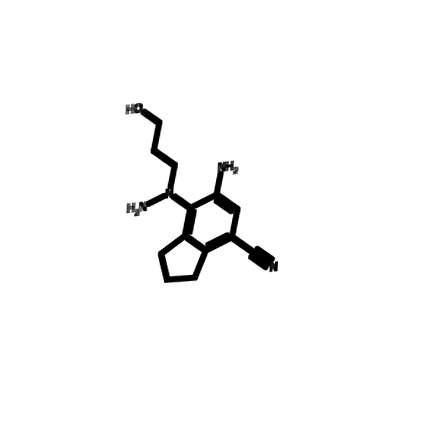 N#Cc1cc(N)c(N(N)CCCO)c2c1CCC2